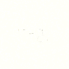 BC1OC(COC(C)C)C(OC)C1OC(C)C